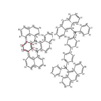 c1ccc(N(c2ccc(-c3ccc(N(c4ccccc4)c4c5ccccc5cc5ccccc45)cc3)cc2)c2c3ccccc3cc3ccccc23)cc1.c1ccc(N(c2ccc3ccccc3c2N(c2ccccc2)c2cccc3ccccc23)c2cccc3ccccc23)cc1